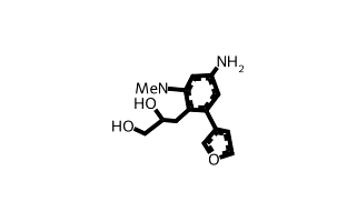 CNc1cc(N)cc(-c2ccoc2)c1CC(O)CO